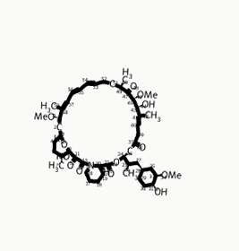 CO[C@H]1C[C@@H]2CC[C@@H](C)[C@@](O)(O2)C(=O)C(=O)N2CCCC[C@H]2C(=O)O[C@H]([C@H](C)C[C@@H]2CC[C@@H](O)[C@H](OC)C2)CC(=O)C/C=C(\C)[C@@H](O)[C@@H](OC)C(=O)[C@H](C)CC/C=C/C=C/C=C/1C